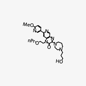 CCCOCCn1c(=O)c(N2CCCN(CCCO)CC2)nc2cnc(-c3ccc(OC)nc3)cc21